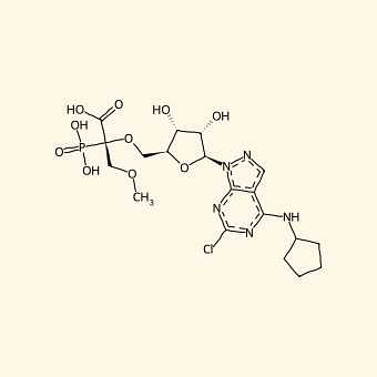 COC[C@](OC[C@@H]1O[C@H](n2ncc3c(NC4CCCC4)nc(Cl)nc32)[C@@H](O)[C@H]1O)(C(=O)O)P(=O)(O)O